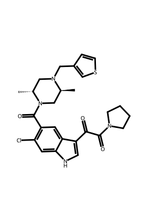 C[C@@H]1CN(Cc2ccsc2)[C@@H](C)CN1C(=O)c1cc2c(C(=O)C(=O)N3CCCC3)c[nH]c2cc1Cl